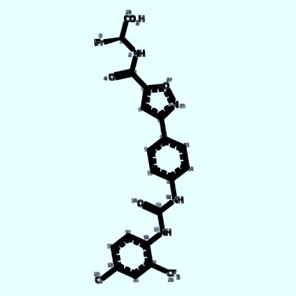 CC(C)[C@H](NC(=O)c1cc(-c2ccc(NC(=O)Nc3ccc(Cl)cc3C(F)(F)F)cc2)no1)C(=O)O